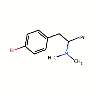 CC(C)C(Cc1ccc(Br)cc1)N(C)C